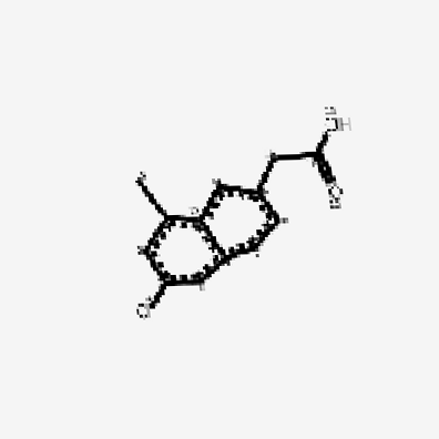 Cc1cc(Cl)cc2ccc(CC(=O)O)cc12